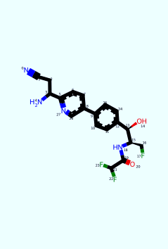 N#CCC(N)c1ccc(-c2ccc([C@@H](O)[C@@H](CF)NC(=O)C(F)F)cc2)cn1